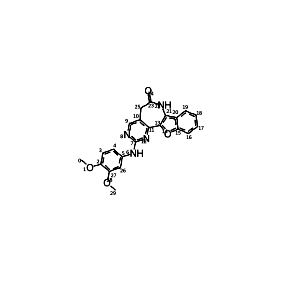 COc1ccc(Nc2ncc3c(n2)-c2oc4ccccc4c2NC(=O)C3)cc1OC